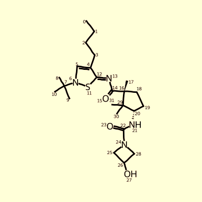 CCCCc1cn(C(C)(C)C)s/c1=N\C(=O)[C@]1(C)CC[C@H](NC(=O)N2CC(O)C2)C1(C)C